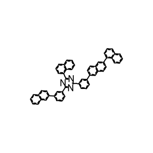 c1cc(-c2ccc3ccccc3c2)cc(-c2nc(-c3cccc(-c4ccc5cc(-c6cccc7ccccc67)ccc5c4)c3)nc(-c3cccc4ccccc34)n2)c1